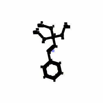 CC(C)(C)O[Si](/C=C/c1ccccc1)(OC(C)(C)C)OC(C)(C)C